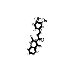 COc1cc(C=CC(=O)c2c(C)nc3ccccc3c2C)ccc1O